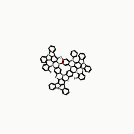 Fc1cccc(F)c1N1c2cc3c(cc2B2c4ccccc4Oc4c2c1c1c2ccccc2n2c5ccccc5c4c12)B1c2cc4c(cc2Oc2c1c(c1c5ccccc5n5c6ccccc6c2c15)O3)N(c1c(F)cccc1F)c1c2c(c3c5ccccc5n5c6ccccc6c1c35)N(c1ccccc1)c1ccccc1B42